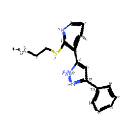 CCCSc1ncccc1-c1cc(-c2ccccc2)n[nH]1